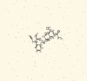 C#CCN(C(=O)OC)c1ccccc1CSC1=Nc2cc(C(=O)CC)cc(Cl)c2OC1